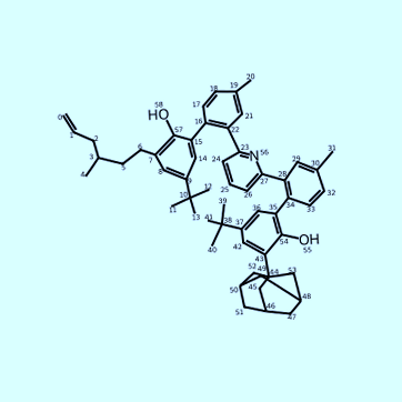 C=CCC(C)CCc1cc(C(C)(C)C)cc(-c2ccc(C)cc2-c2cccc(-c3cc(C)ccc3-c3cc(C(C)(C)C)cc(C45CC6CC(CC(C6)C4)C5)c3O)n2)c1O